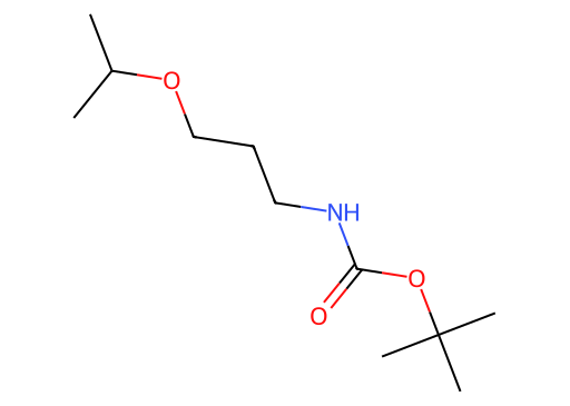 CC(C)OCCCNC(=O)OC(C)(C)C